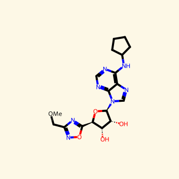 COCc1noc([C@H]2O[C@@H](n3cnc4c(NC5CCCC5)ncnc43)[C@H](O)[C@@H]2O)n1